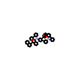 c1ccc(-c2cc(N(c3ccccc3-c3ccccc3)c3ccc(-c4cccc5ccccc45)c4ccccc34)ccc2-c2cccc(-n3c4ccccc4c4ccc5ccccc5c43)c2)cc1